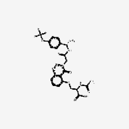 CC(=O)NC(CSc1cccc2nnn(CC(=O)N[C@@H](C)c3ccc(OC(F)(F)F)cc3)c(=O)c12)C(=O)O